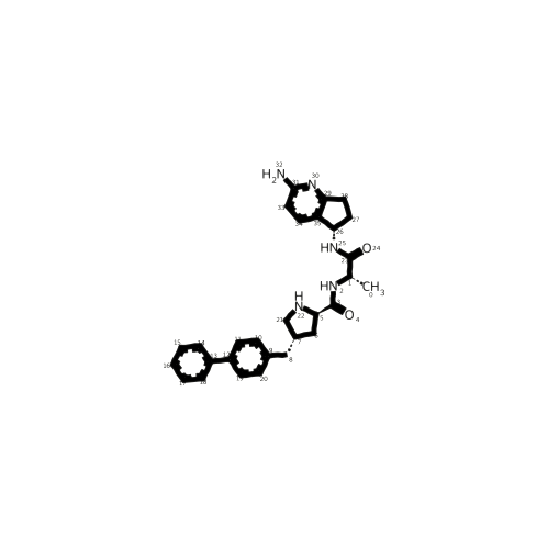 C[C@H](NC(=O)[C@H]1C[C@H](Cc2ccc(-c3ccccc3)cc2)CN1)C(=O)N[C@H]1CCc2nc(N)ccc21